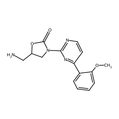 COc1ccccc1-c1ccnc(N2CC(CN)OC2=O)n1